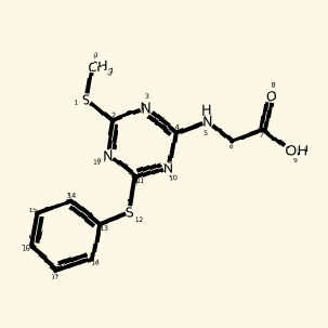 CSc1nc(NCC(=O)O)nc(Sc2ccccc2)n1